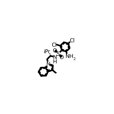 Cc1cn(C[C@@H](NS(=O)(=O)c2c(N)cc(Cl)cc2Cl)C(C)C)c2ccccc12